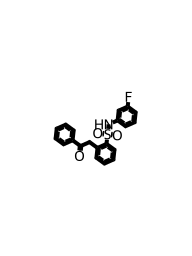 O=C(Cc1ccccc1S(=O)(=O)Nc1cccc(F)c1)c1ccccc1